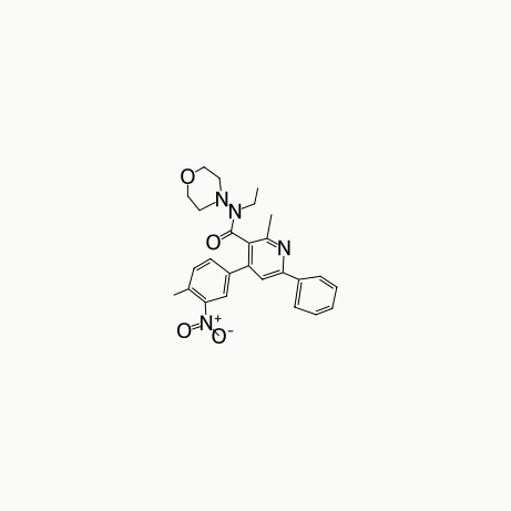 CCN(C(=O)c1c(-c2ccc(C)c([N+](=O)[O-])c2)cc(-c2ccccc2)nc1C)N1CCOCC1